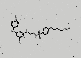 Cc1cc(Nc2ccc(F)cc2)nc(NCCNS(=O)(=O)c2ccc(OCCCC(=O)O)cc2)n1